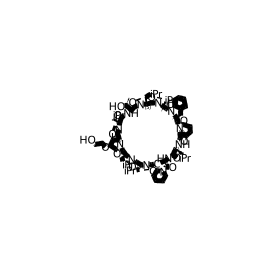 CC(C)C[C@@H]1NC(=O)[C@@H]2CCCCN2C(=O)[C@H](Cc2ccccc2)NC(=O)[C@H](C(C)C)N(C)C(=O)[C@H](CC(C)C)N(C)C(=O)[C@H]([C@@H](C)O)NC(=O)[C@H](CC(C)C)N(C)C(=O)[C@@H]2C[C@@H](OCCO)CN2C(=O)[C@H](CC(C)C)N(C)C(=O)[C@@H](CC(C)C)N(C)C(=O)C[C@@H](C(=O)N2CCCCC2)NC1=O